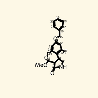 COC(=O)C1C(=O)NCC1c1c(F)cc(OCc2ccccc2)cc1F